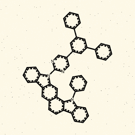 c1ccc(-c2cc(-c3ccccc3)cc(-c3cnc(-n4c5ccccc5c5cc6ccc7c8ccccc8n(-c8ccccc8)c7c6cc54)nc3)c2)cc1